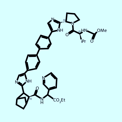 CCOC(=O)C(NC(=O)[C@H]1C2CCC(C2)C1c1ncc(-c2ccc(-c3ccc(-c4cnc([C@@H]5CCCN5C(=O)[C@@H](NC(=O)OC)C(C)C)[nH]4)cc3)cc2)[nH]1)c1cccnc1